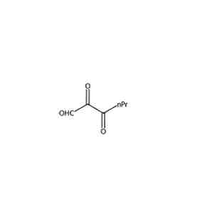 CCCC(=O)C(=O)[C]=O